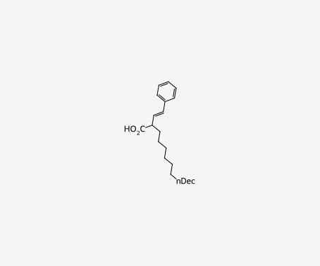 CCCCCCCCCCCCCCCCC(/C=C/c1ccccc1)C(=O)O